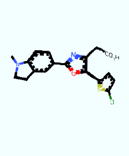 CN1CCc2cc(-c3nc(CC(=O)O)c(-c4ccc(Cl)s4)o3)ccc21